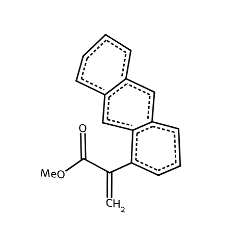 C=C(C(=O)OC)c1cccc2cc3ccccc3cc12